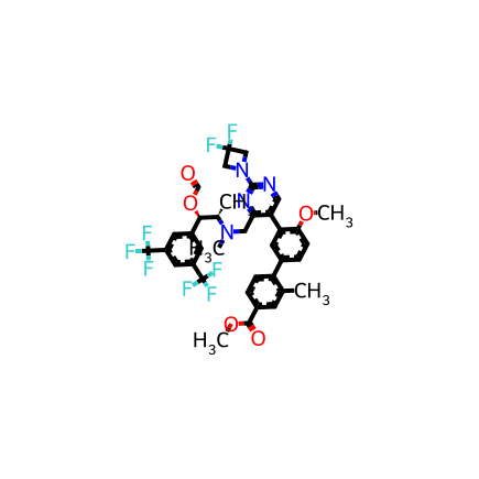 COC(=O)c1ccc(-c2ccc(OC)c(-c3cnc(N4CC(F)(F)C4)nc3CN(C)[C@@H](C)[C@H](OC=O)c3cc(C(F)(F)F)cc(C(F)(F)F)c3)c2)c(C)c1